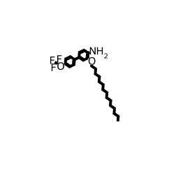 CCCCCCCCCCCCCCCOc1cc(-c2ccc(OC(F)(F)F)cc2)ccc1N